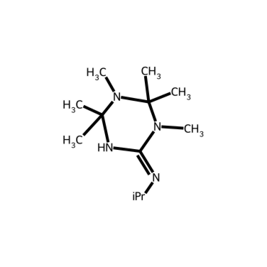 CC(C)/N=C1\NC(C)(C)N(C)C(C)(C)N1C